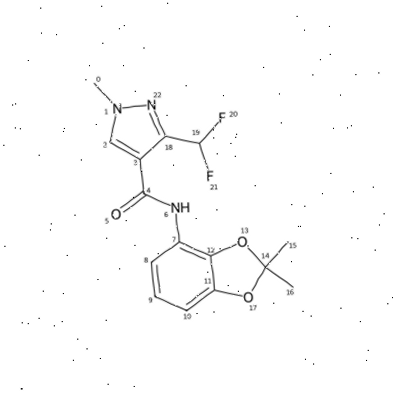 Cn1cc(C(=O)Nc2cccc3c2OC(C)(C)O3)c(C(F)F)n1